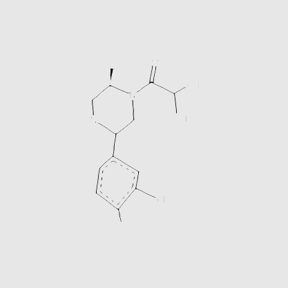 CC(C)C(=O)N1CC(c2ccc(F)c(Cl)c2)NC[C@H]1C